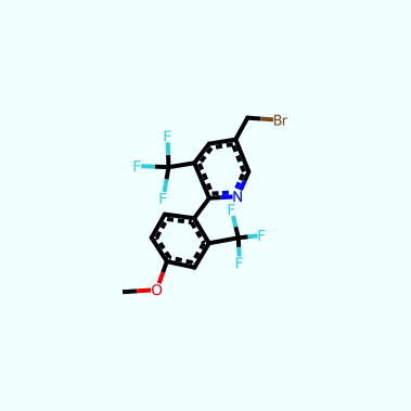 COc1ccc(-c2ncc(CBr)cc2C(F)(F)F)c(C(F)(F)F)c1